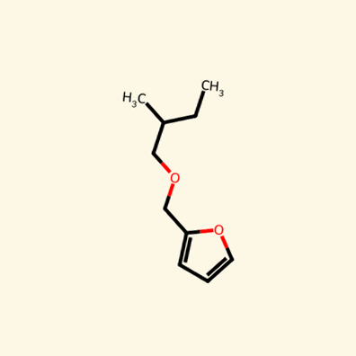 CCC(C)COCc1ccco1